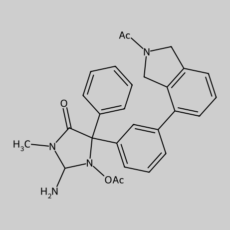 CC(=O)ON1C(N)N(C)C(=O)C1(c1ccccc1)c1cccc(-c2cccc3c2CN(C(C)=O)C3)c1